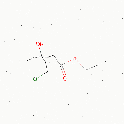 CCOC(=O)CC(C)(O)CCl